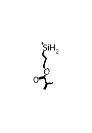 C=C(C)C(=O)OCCC[SiH2]C